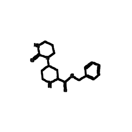 O=C(OCc1ccccc1)C1CC(N2CCCNC2=O)CCN1